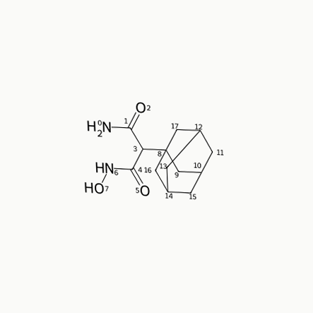 NC(=O)C(C(=O)NO)C12CC3CC(CC(C3)C1)C2